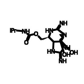 CC(C)NC(=O)OC[C@@H]1NC(=N)N2CCC(O)(O)C23NC(=N)NC13